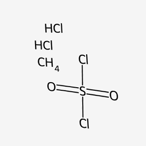 C.Cl.Cl.O=S(=O)(Cl)Cl